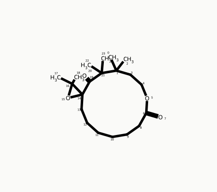 CC1(C)CCOC(=O)CCCCCCC2(OC2(C)C)C(=O)C1(C)C